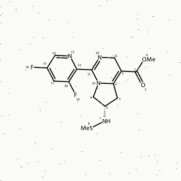 COC(=O)C1=C2C[C@H](NSC)CN2C(c2ncc(F)cc2F)=NC1